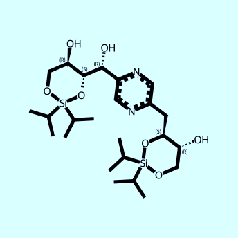 CC(C)[Si]1(C(C)C)OC[C@@H](O)[C@H]([C@H](O)c2cnc(C[C@@H]3O[Si](C(C)C)(C(C)C)OC[C@H]3O)cn2)O1